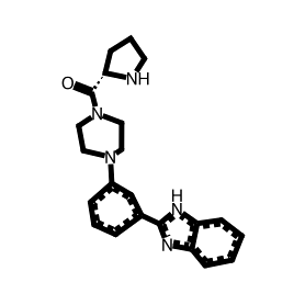 O=C([C@@H]1CCCN1)N1CCN(c2cccc(-c3nc4ccccc4[nH]3)c2)CC1